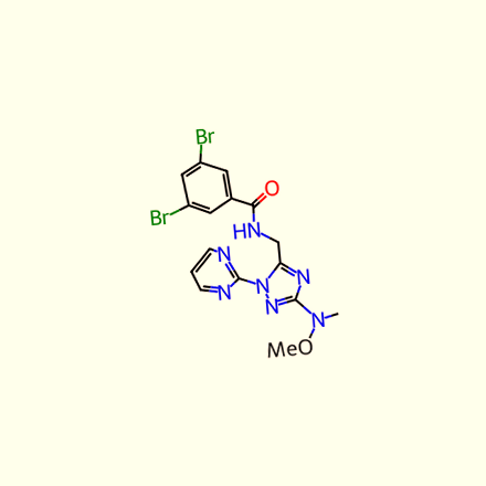 CON(C)c1nc(CNC(=O)c2cc(Br)cc(Br)c2)n(-c2ncccn2)n1